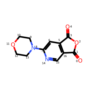 O=C1OC(=O)c2cc(N3CCOCC3)ncc21